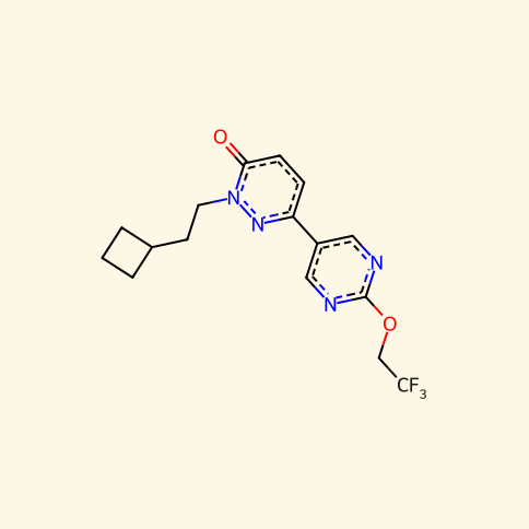 O=c1ccc(-c2cnc(OCC(F)(F)F)nc2)nn1CCC1CCC1